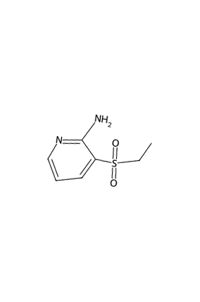 CCS(=O)(=O)c1cccnc1N